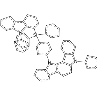 c1ccc(-n2c3ccccc3c3c2ccc2c4ccccc4n(-c4ccc([Si](c5ccccc5)(c5ccccc5)c5cccc6c7ccccc7n(-c7ccccc7)c56)cc4)c23)cc1